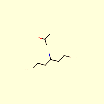 CC(O)C(=O)O.CCCCCCCCCCCCC(N)CCCCCCCCCCCC